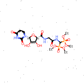 CCOP(=O)(OCC)C(NC(=O)CNC(=O)[C@H]1O[C@@H](n2ccc(=O)[nH]c2=O)[C@H](O)[C@@H]1O)P(=O)(OCC)OCC